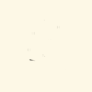 CC(C)(C)OC(=O)N1C=C(Br)CC[C@H]1CO